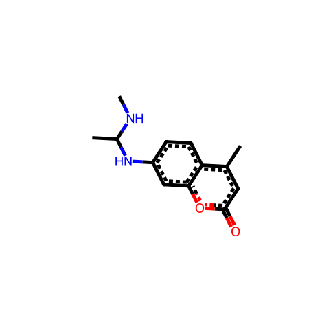 CNC(C)Nc1ccc2c(C)cc(=O)oc2c1